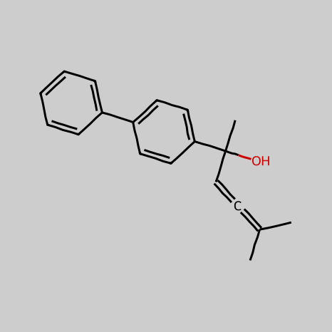 CC(C)=C=CC(C)(O)c1ccc(-c2ccccc2)cc1